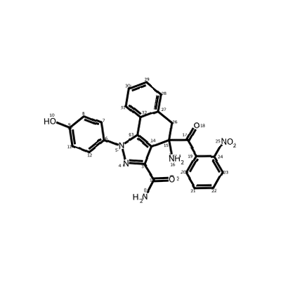 NC(=O)c1nn(-c2ccc(O)cc2)c2c1C(N)(C(=O)c1ccccc1[N+](=O)[O-])Cc1ccccc1-2